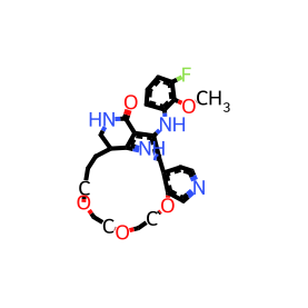 COc1c(F)cccc1Nc1c2[nH]c3c1C(=O)NCC3CCCOCCOCCOc1cnccc1-2